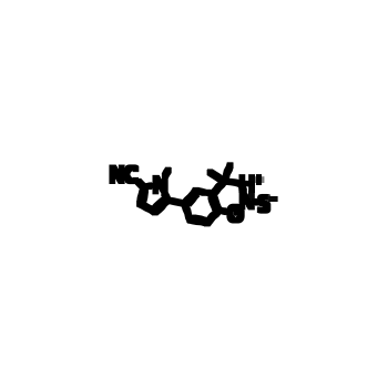 Cn1c(C#N)ccc1-c1ccc2c(c1)C(C)(C)C[NH+]([S-])O2